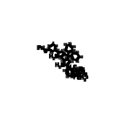 CC(C)Sc1cccc(C2=CC3=C([SiH2]2)C2=C(C=C(c4cccc(S(C)(C)(C)(I)C(C)(C)C(C)C)c4)[SiH2]2)C3(c2ccccc2)c2ccccc2)c1